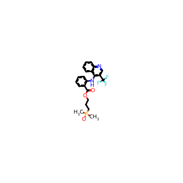 CP(C)(=O)CCCOC(=O)c1ccccc1Nc1c(C(F)(F)F)cnc2ccccc12